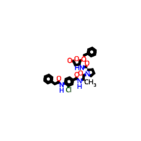 C[C@H](NC(=O)c1ccc(NC(=O)Cc2ccccc2)c(Cl)c1)C(=O)N1CCC[C@H]1C(=O)NC1CC(=O)OC1OCc1ccccc1